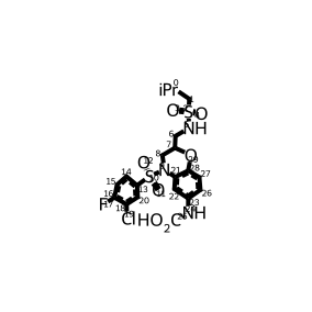 CC(C)CS(=O)(=O)NCC1CN(S(=O)(=O)c2ccc(F)c(Cl)c2)c2cc(NC(=O)O)ccc2O1